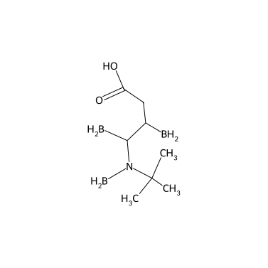 BC(CC(=O)O)C(B)N(B)C(C)(C)C